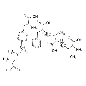 CC(C)C(N)C(=O)O.CC(C)CC(N)C(=O)O.CCC(C)C(N)C(=O)O.NC(Cc1ccc(O)cc1)C(=O)O.NC(Cc1ccccc1)C(=O)O